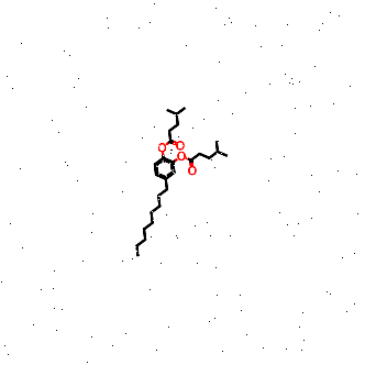 CCCCCCCCCc1ccc(OC(=O)CCC(C)C)c(OC(=O)CCC(C)C)c1